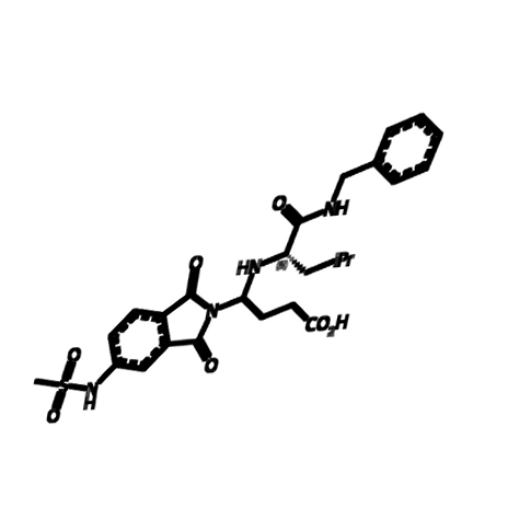 CC(C)C[C@H](NC(CCC(=O)O)N1C(=O)c2ccc(NS(C)(=O)=O)cc2C1=O)C(=O)NCc1ccccc1